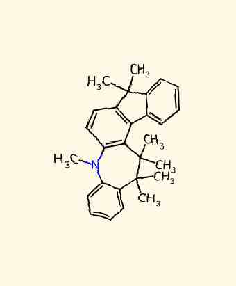 CN1c2ccccc2C(C)(C)C(C)(C)c2c1ccc1c2-c2ccccc2C1(C)C